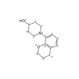 OC1CCN(c2cccc3c2OCCC3)CC1